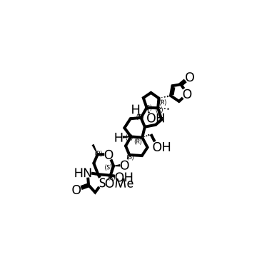 CO[C@]1(O)[C@H](O[C@H]2CC[C@]3(CO)C4CC[C@]5(C)[C@@H](C6=CC(=O)OC6)CC[C@]5(O)[C@@H]4CC[C@H]3C2)O[C@H](C)CC12NC(=O)CS2